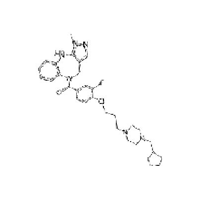 Cn1ncc2c1Nc1ccccc1N(C(=O)c1ccc(OCCCN3CCN(CC4CCCC4)CC3)c(F)c1)C2